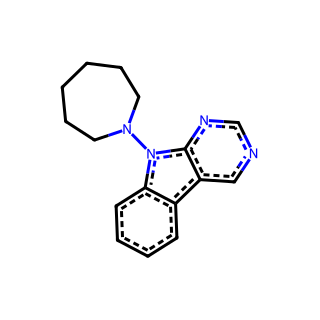 c1ccc2c(c1)c1cncnc1n2N1CCCCCC1